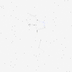 O=C(O)CCCSc1c[nH]c2ccccc12